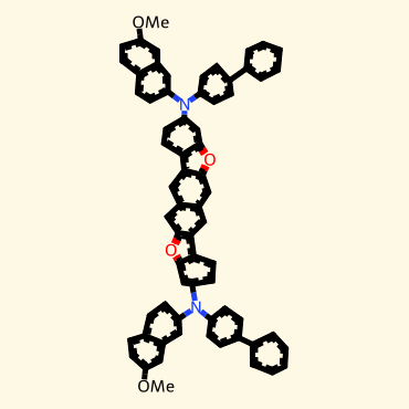 COc1ccc2ccc(N(c3ccc(-c4ccccc4)cc3)c3ccc4c(c3)oc3cc5cc6c(cc5cc34)oc3cc(N(c4ccc(-c5ccccc5)cc4)c4ccc5ccc(OC)cc5c4)ccc36)cc2c1